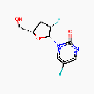 O=c1ncc(F)cn1[C@@H]1O[C@H](CO)C[C@@H]1F